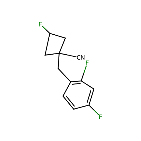 N#CC1(Cc2ccc(F)cc2F)CC(F)C1